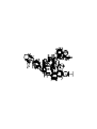 C#Cc1c(F)ccc2cc(O)cc(N3Cc4nc(OC[C@]5(C)C[C@@H](F)CN5c5ccc(N6CCOC[C@H]6C)nc5)nc(NCC5(N(C)C(=O)C=C)CCCC5)c4OC3=O)c12